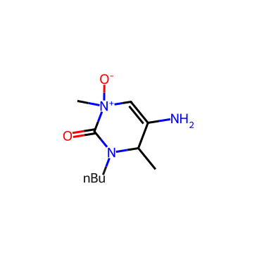 CCCCN1C(=O)[N+](C)([O-])C=C(N)C1C